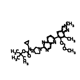 COCOc1c(-c2ccc3nc(N4CC[C@@H](N(C(=O)OC(C)(C)C)C5CC5)C4)ncc3n2)cc2cn(C)nc2c1C